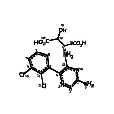 Nc1nnc(-c2cccc(Cl)c2Cl)c(N)n1.O=C(O)CC(O)C(=O)O